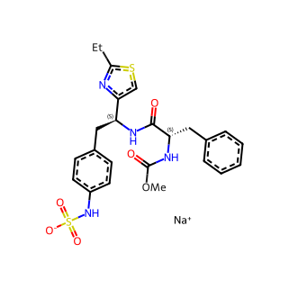 CCc1nc([C@H](Cc2ccc(NS(=O)(=O)[O-])cc2)NC(=O)[C@H](Cc2ccccc2)NC(=O)OC)cs1.[Na+]